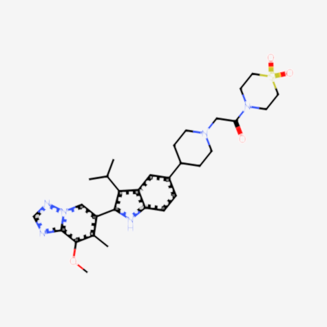 COc1c(C)c(-c2[nH]c3ccc(C4CCN(CC(=O)N5CCS(=O)(=O)CC5)CC4)cc3c2C(C)C)cn2ncnc12